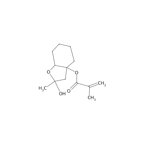 C=C(C)C(=O)OC12CCCCC1OC(C)(O)C2